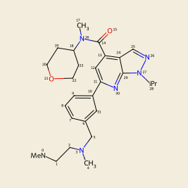 CNCCN(C)Cc1cccc(-c2cc(C(=O)N(C)C3CCOCC3)c3cnn(C(C)C)c3n2)c1